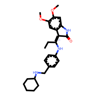 CC/C(Nc1ccc(CNC2CCCCC2)cc1)=C1/C(=O)Nc2cc(OC)c(OC)cc21